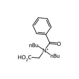 CCCC[N+](CCCC)(CC(=O)O)C(=O)c1ccccc1